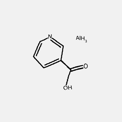 O=C(O)c1cccnc1.[AlH3]